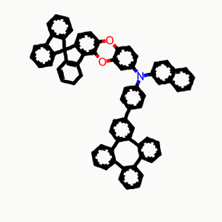 C1=CC2=C(CC1)c1c(ccc3c1Oc1cc(N(c4ccc(-c5ccc6c(c5)-c5ccccc5-c5ccccc5-c5ccccc5-6)cc4)c4ccc5ccccc5c4)ccc1O3)C21c2ccccc2-c2ccccc21